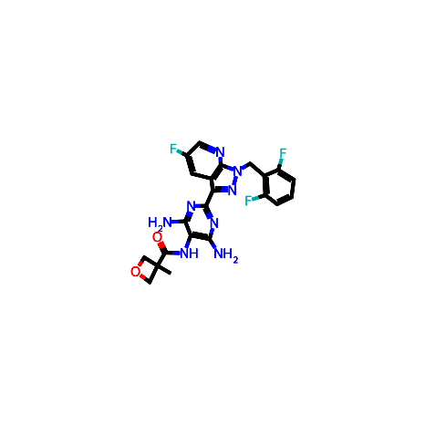 CC1(C(=O)Nc2c(N)nc(-c3nn(Cc4c(F)cccc4F)c4ncc(F)cc34)nc2N)COC1